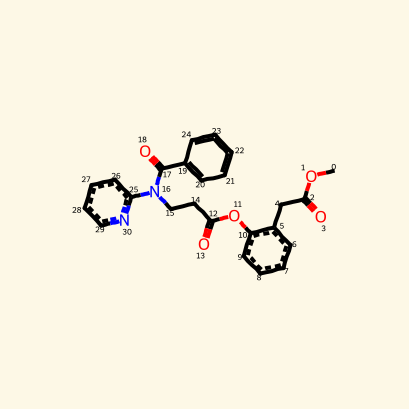 COC(=O)Cc1ccccc1OC(=O)CCN(C(=O)C1=CC=C=C=C1)c1ccccn1